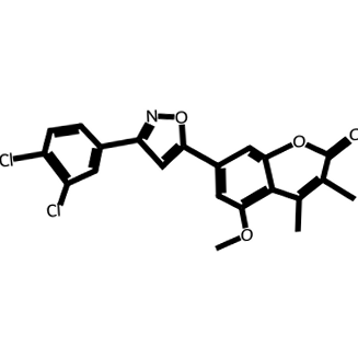 COc1cc(-c2cc(-c3ccc(Cl)c(Cl)c3)no2)cc2oc(=O)c(C)c(C)c12